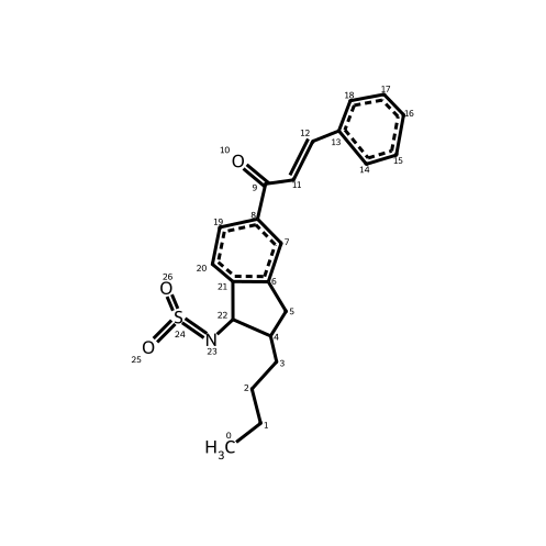 CCCCC1Cc2cc(C(=O)C=Cc3ccccc3)ccc2C1N=S(=O)=O